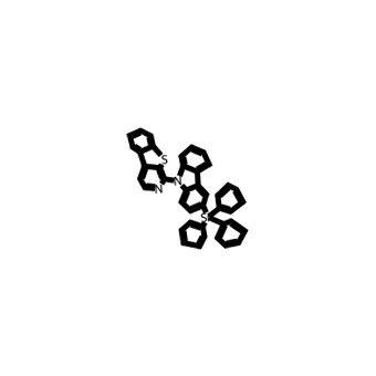 c1ccc([Si](c2ccccc2)(c2ccccc2)c2ccc3c(c2)c2ccccc2n3-c2nccc3c2sc2ccccc23)cc1